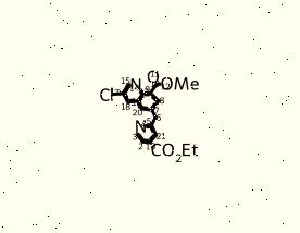 CCOC(=O)c1ccnc(Cc2cc(C(=O)OC)c3ncc(Cl)cc3c2)c1